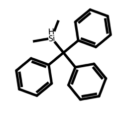 C[SiH](C)C(c1ccccc1)(c1ccccc1)c1ccccc1